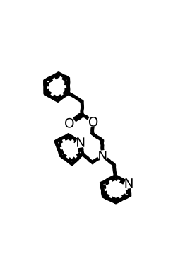 O=C(Cc1ccccc1)OCCN(Cc1ccccn1)Cc1ccccn1